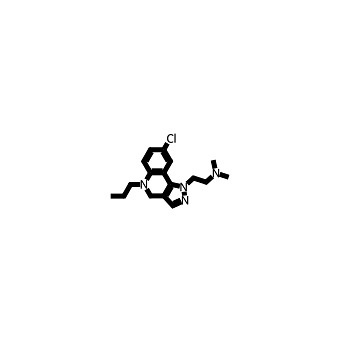 CCCN1Cc2cnn(CCN(C)C)c2-c2cc(Cl)ccc21